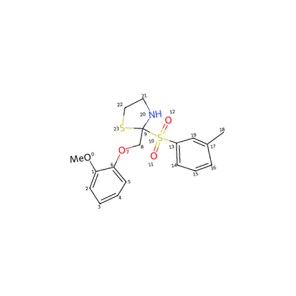 COc1ccccc1OCC1(S(=O)(=O)c2cccc(C)c2)NCCS1